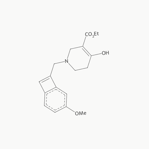 CCOC(=O)C1=C(O)CCN(CC2=Cc3ccc(OC)cc32)C1